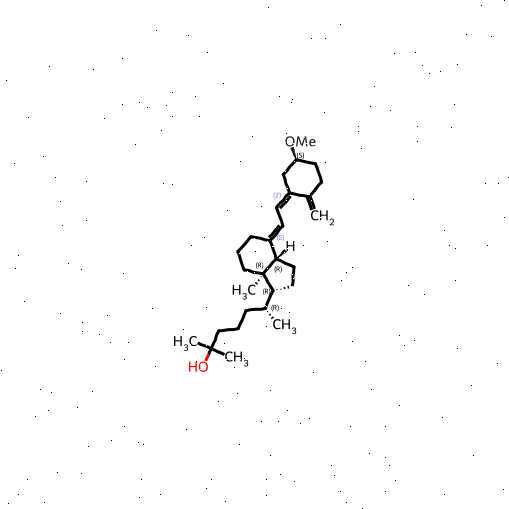 C=C1CC[C@H](OC)C/C1=C/C=C1\CCC[C@]2(C)[C@@H]([C@H](C)CCCC(C)(C)O)CC[C@@H]12